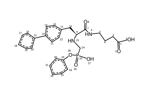 O=C(O)CCCNC(=O)[C@H](Cc1ccc(-c2ccccc2)cc1)NCP(=O)(O)Oc1ccccc1